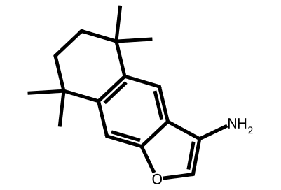 CC1(C)CCC(C)(C)c2cc3c(N)coc3cc21